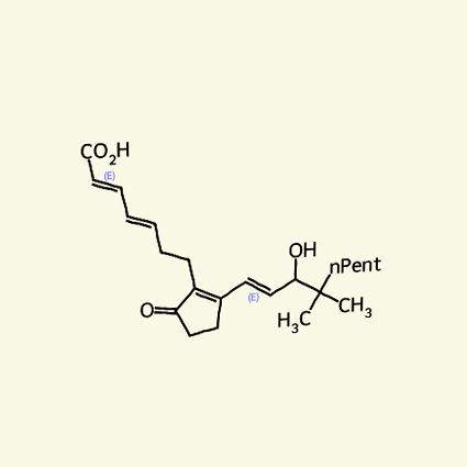 CCCCCC(C)(C)C(O)/C=C/C1=C(CCC=C/C=C/C(=O)O)C(=O)CC1